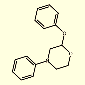 c1ccc(OC2CN(c3ccccc3)CCO2)cc1